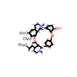 CO/C(C)=C/C1=C2C(C)Oc3c(OC)c(OC)cc4c3C(Cc3ccc(O)c(c3)Oc3ccc(cc3)CC2N(C)CC1)N(C)CC4